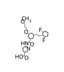 COCCCOc1cc(CCc2c(F)cccc2F)cc(C(=O)Nc2ccc(C(=O)O)cn2)c1